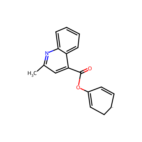 Cc1cc(C(=O)OC2=CC[CH]C=C2)c2ccccc2n1